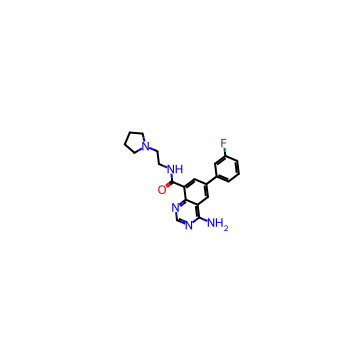 Nc1ncnc2c(C(=O)NCCN3CCCC3)cc(-c3cccc(F)c3)cc12